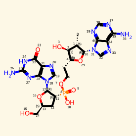 C[C@H]1[C@H](O)[C@@H](CCOP(=O)(O)[C@@H]2C[C@@H](CO)O[C@H]2n2cnc3c(=O)[nH]c(N)nc32)O[C@H]1n1cnc2c(N)ncnc21